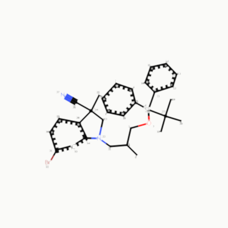 CC(CO[Si](c1ccccc1)(c1ccccc1)C(C)(C)C)CN1CC(C)(C#N)c2ccc(Br)cc21